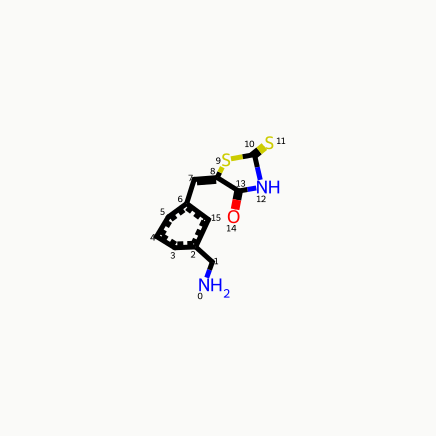 NCc1cccc(C=C2SC(=S)NC2=O)c1